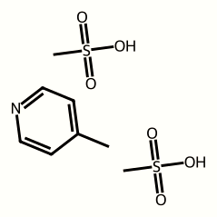 CS(=O)(=O)O.CS(=O)(=O)O.Cc1ccncc1